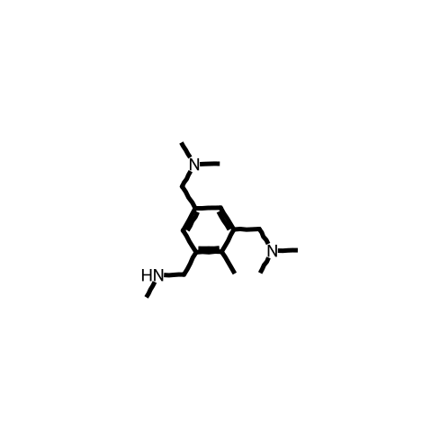 CNCc1cc(CN(C)C)cc(CN(C)C)c1C